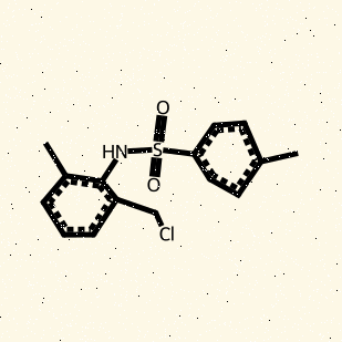 Cc1ccc(S(=O)(=O)Nc2c(C)cccc2CCl)cc1